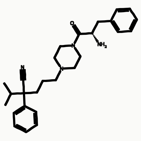 CC(C)C(C#N)(CCCN1CCN(C(=O)[C@@H](N)Cc2ccccc2)CC1)c1ccccc1